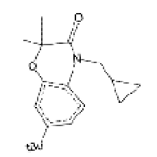 CC1(C)Oc2cc(C(C)(C)C)ccc2N(CC2CC2)C1=O